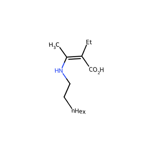 CCCCCCCCNC(C)=C(CC)C(=O)O